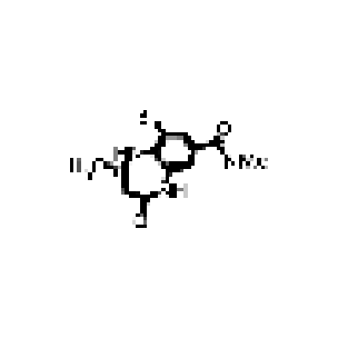 CNC(=O)c1cc(Br)c2c(c1)NC(=O)C[C@@H](C)N2